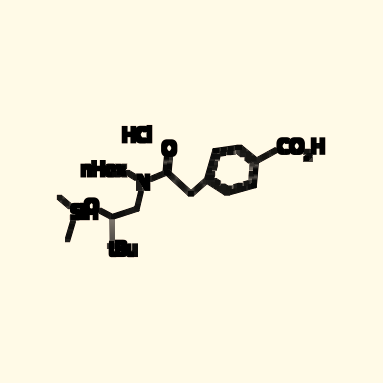 CCCCCCN(CC(O[SiH](C)C)C(C)(C)C)C(=O)Cc1ccc(C(=O)O)cc1.Cl